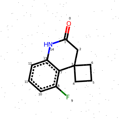 O=C1CC2(CCC2)c2c(F)cccc2N1